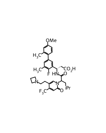 COc1ccc(-c2cc(C)c(F)c([C@H](CC(=O)O)NC(=O)C(CC(C)C)n3cc(CCN4CCC4)c(C(F)(F)F)cc3=O)c2)c(C)c1